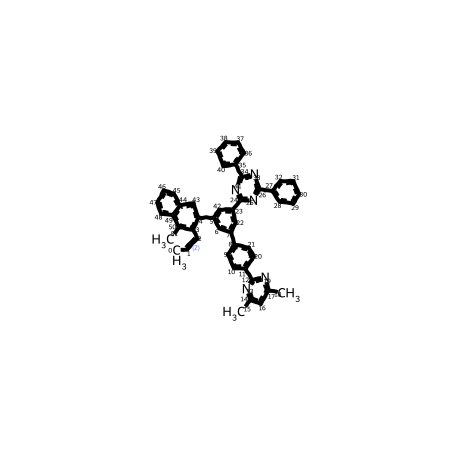 C/C=C\c1c(-c2cc(-c3ccc(-c4nc(C)cc(C)n4)cc3)cc(-c3nc(-c4ccccc4)nc(-c4ccccc4)n3)c2)cc2ccccc2c1C